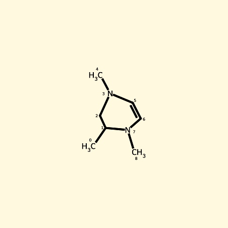 CC1CN(C)C=CN1C